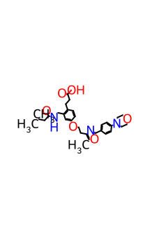 Cc1oc(-c2ccc(N3CCOCC3)cc2)nc1CCOc1ccc(CCC(=O)O)c(CNC(=O)CC(C)C)c1